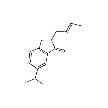 CC=CCC1Cc2ccc(C(C)C)cc2C1=O